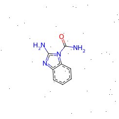 NC(=O)n1c(N)nc2ccccc21